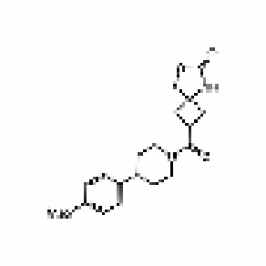 CSc1ccc(C2CCN(C(=O)C3CC4(COC(=O)N4)C3)CC2)cc1